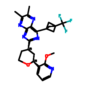 COc1ncccc1[C@@H]1C[C@H](c2nc(C34CC(C(F)(F)F)(C3)C4)c3nc(C)c(C)nc3n2)CCO1